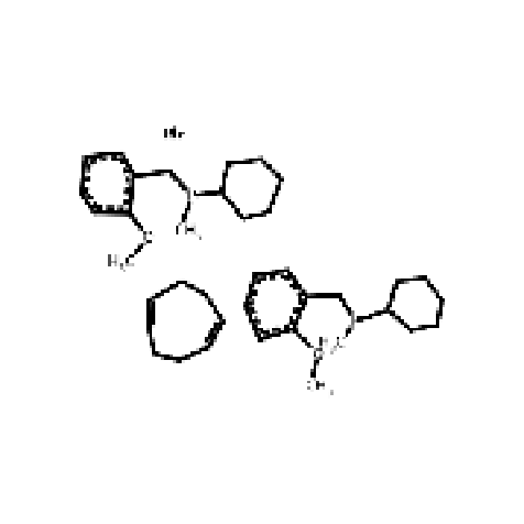 C1=CCCC=CCC1.COc1ccccc1CP(C)C1CCCCC1.COc1ccccc1CP(C)C1CCCCC1.[Rh]